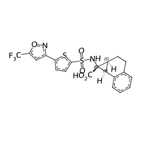 O=C(O)[C@]1(NS(=O)(=O)c2ccc(-c3cc(C(F)(F)F)on3)s2)[C@@H]2c3ccccc3CC[C@@H]21